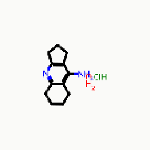 Cl.Nc1c2c(nc3c1CCC3)CCCC2.O